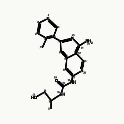 Cc1ccncc1-c1cc2cc(NC(=O)NC(C)CO)ncc2c(N)n1